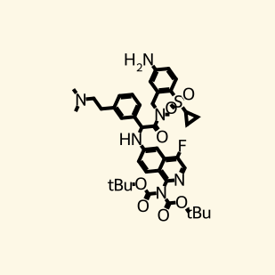 CN(C)CCc1cccc(C(Nc2ccc3c(N(C(=O)OC(C)(C)C)C(=O)OC(C)(C)C)ncc(F)c3c2)C(=O)N(C)Cc2cc(N)ccc2S(=O)(=O)C2CC2)c1